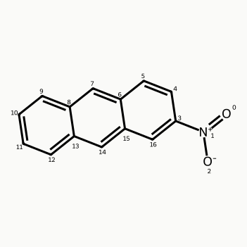 O=[N+]([O-])c1ccc2cc3ccccc3cc2c1